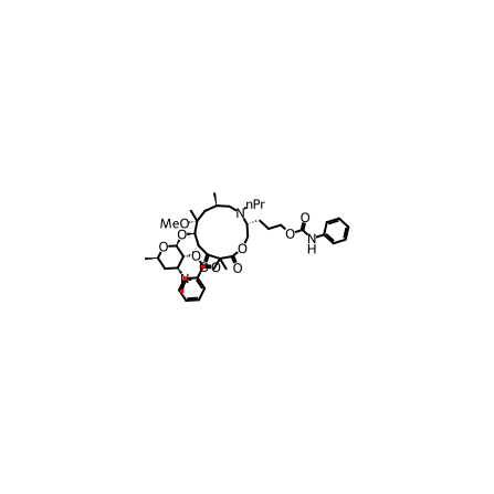 CCCN1C[C@H](C)C[C@@](C)(OC)[C@H](O[C@@H]2O[C@H](C)C[C@H](N(C)C)[C@H]2OC(=O)c2ccccc2)[C@@H](C)C(=O)C(C)(C)C(=O)OC[C@H]1CCCOC(=O)Nc1ccccc1